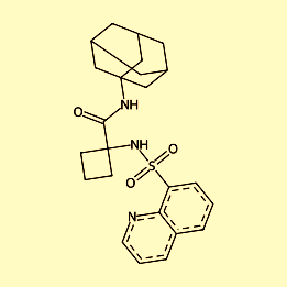 O=C(NC12CC3CC(CC(C3)C1)C2)C1(NS(=O)(=O)c2cccc3cccnc23)CCC1